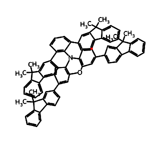 CC1(C)c2ccccc2-c2ccc(-c3ccc4c(c3)Oc3cc(-c5ccc6c(c5)C(C)(C)c5ccccc5-6)ccc3N4c3c(-c4ccc5c(c4)C(C)(C)c4ccccc4-5)cccc3-c3ccc4c(c3)C(C)(C)c3ccccc3-4)cc21